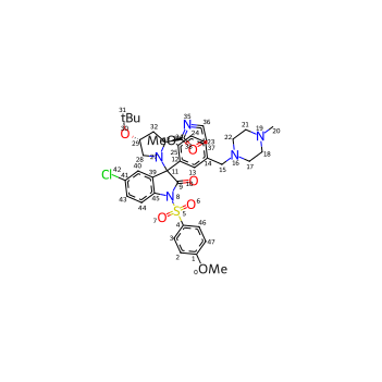 COc1ccc(S(=O)(=O)N2C(=O)C(c3cc(CN4CCN(C)CC4)ccc3OC)(N3C[C@H](OC(C)(C)C)C[C@H]3c3ncco3)c3cc(Cl)ccc32)cc1